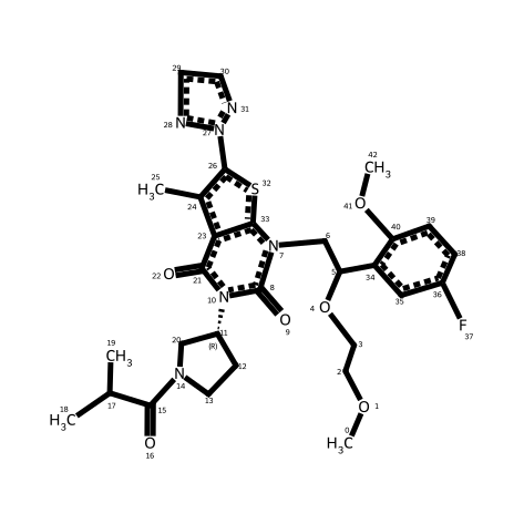 COCCOC(Cn1c(=O)n([C@@H]2CCN(C(=O)C(C)C)C2)c(=O)c2c(C)c(-n3nccn3)sc21)c1cc(F)ccc1OC